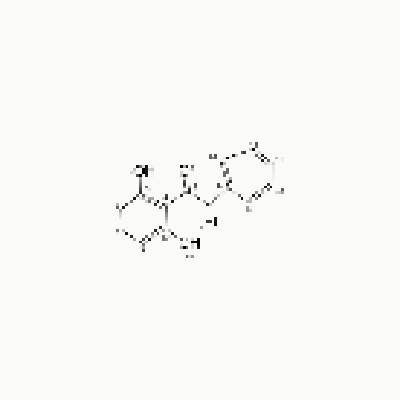 CCC(C(=O)c1c(O)cccc1O)c1ccccc1